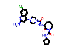 Nc1cc(N2CCN(C(=O)N[C@H]3CCCCN(C(=O)NC4CCCC4)C3=O)CC2)c2ccc(Cl)cc2n1